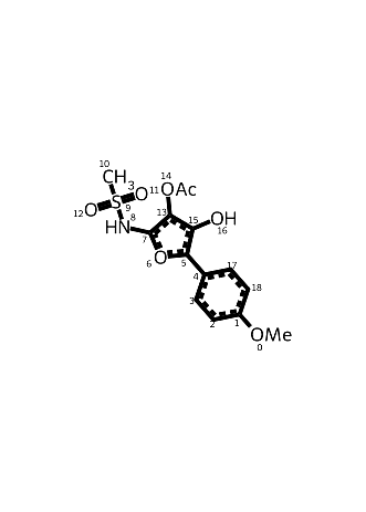 COc1ccc(-c2oc(NS(C)(=O)=O)c(OC(C)=O)c2O)cc1